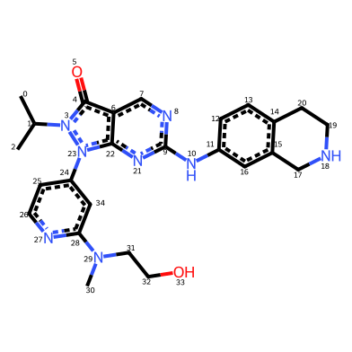 CC(C)n1c(=O)c2cnc(Nc3ccc4c(c3)CNCC4)nc2n1-c1ccnc(N(C)CCO)c1